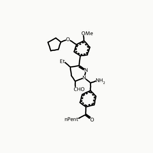 CCCCCC(=O)c1ccc(C(N)N2N=C(c3ccc(OC)c(OC4CCCC4)c3)C(CC)CC2C=O)cc1